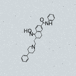 O=C(Nc1ccccc1)c1ccc2c(c1)CCC(CCN1CCC(c3ccccc3)CC1)/C2=N/O